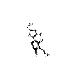 O=c1ccn(C2O[C@H](CO)C[C@H]2F)c(=O)n1CO